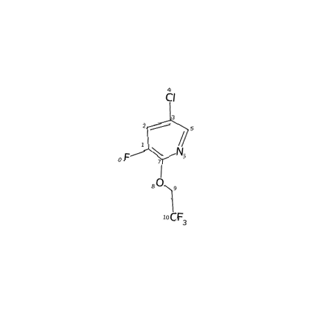 Fc1cc(Cl)cnc1OCC(F)(F)F